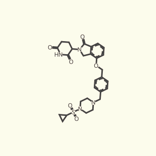 O=C1CCC(N2Cc3c(OCc4ccc(CN5CCN(S(=O)(=O)C6CC6)CC5)cc4)cccc3C2=O)C(=O)N1